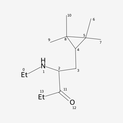 CCNC(CC1C(C)(C)C1(C)C)C(=O)CC